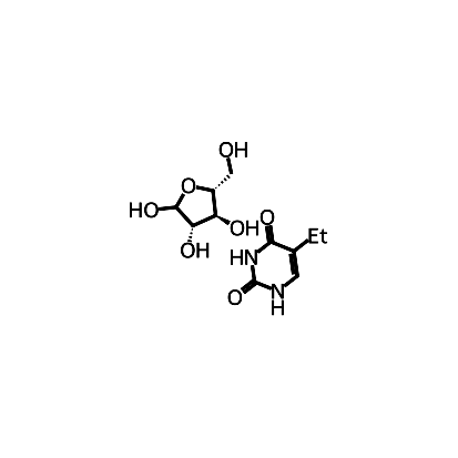 CCc1c[nH]c(=O)[nH]c1=O.OC[C@H]1OC(O)[C@@H](O)[C@@H]1O